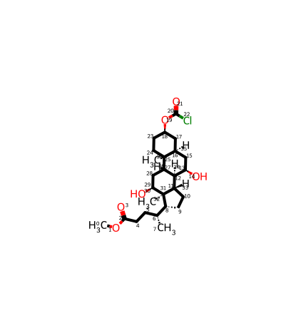 COC(=O)CC[C@@H](C)[C@H]1CC[C@H]2[C@@H]3[C@H](O)C[C@@H]4C[C@H](OC(=O)Cl)CC[C@]4(C)[C@H]3C[C@H](O)[C@]12C